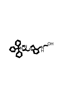 OCCNCc1cccc2c1ccn2Cc1cn(C(c2ccccc2)(c2ccccc2)c2ccccc2)cn1